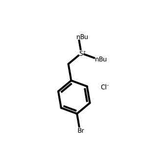 CCCC[S+](CCCC)Cc1ccc(Br)cc1.[Cl-]